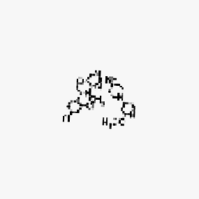 COc1cc(N2CCC(Nc3ncc4c(n3)N(C)C(c3ccc(Cl)cc3Cl)CO4)CC2)ccn1